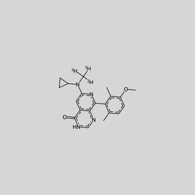 [2H]C([2H])([2H])N(c1cc2c(=O)[nH]cnc2c(-c2c(C)ccc(OC)c2C)n1)C1CC1